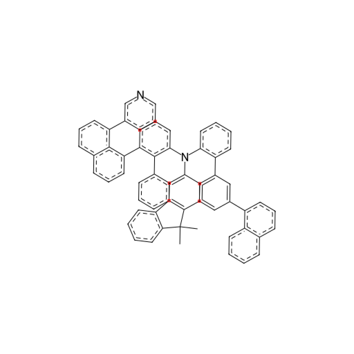 CC1(C)C2=C(C=C(N(c3ccccc3C3=C=C=CC(c4cccc5ccccc45)=C3)c3cccc(-c4cccc5cccc(-c6cccnc6)c45)c3-c3ccccc3)CC2)c2ccccc21